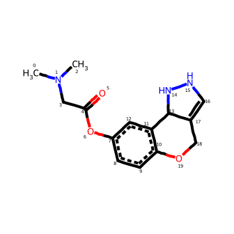 CN(C)CC(=O)Oc1ccc2c(c1)C1NNC=C1CO2